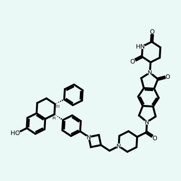 O=C1CCC(N2Cc3cc4c(cc3C2=O)CN(C(=O)C2CCN(CC3CN(c5ccc([C@@H]6c7ccc(O)cc7CC[C@@H]6c6ccccc6)cc5)C3)CC2)C4)C(=O)N1